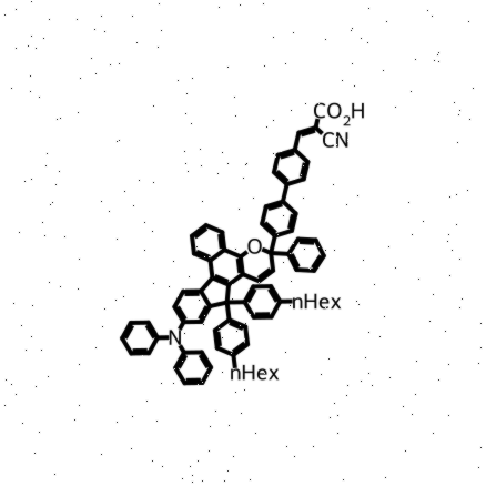 CCCCCCc1ccc(C2(c3ccc(CCCCCC)cc3)c3cc(N(c4ccccc4)c4ccccc4)ccc3-c3c2c2c(c4ccccc34)OC(c3ccccc3)(c3ccc(-c4ccc(/C=C(\C#N)C(=O)O)cc4)cc3)C=C2)cc1